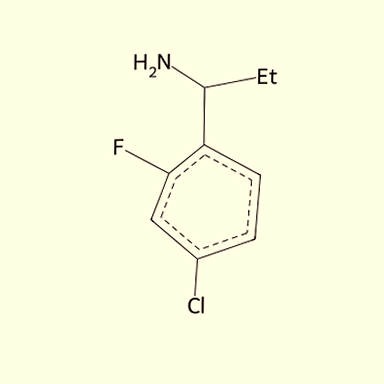 CCC(N)c1ccc(Cl)cc1F